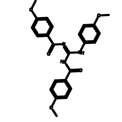 COc1ccc(NC(=NC(=O)c2ccc(OC)cc2)NC(=O)c2ccc(OC)cc2)cc1